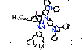 CCCCc1cc(I)cc(-c2nc(-c3cc(CCCC)cc(CCCC)c3)nc(-c3cc(-c4nc(-c5ccccc5)cc(-c5ccccc5)n4)ccc3-n3c4ccccc4c4cc5c6ccccc6n(-c6ccccc6)c5cc43)n2)c1